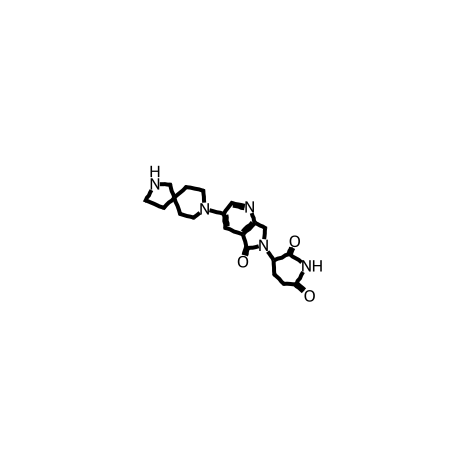 O=C1CCC(N2Cc3ncc(N4CCC5(CCNC5)CC4)cc3C2=O)C(=O)N1